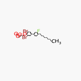 CCCCCCCCCc1ccc(-c2cc(Br)c(OCC3COC(=O)O3)c(Br)c2)cc1F